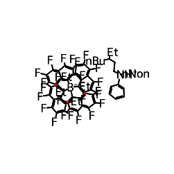 CCCCCCCCC[NH+](CCC(CC)CCCC)c1ccccc1.CCc1c(F)c(F)c(F)c2c(F)c(F)c(F)c([B-](c3c(F)c(F)c(F)c4c(F)c(F)c(F)c(CC)c34)(c3c(F)c(F)c(F)c4c(F)c(F)c(F)c(CC)c34)c3c(F)c(F)c(F)c4c(F)c(F)c(F)c(CC)c34)c12